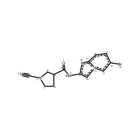 N#CN1CCC(C(=O)Nc2cn3cc(Br)ccc3n2)C1